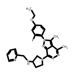 CCOc1ccc(-n2nc3c(N4CCC(NCc5ccccn5)C4)nnc(C)c3c2C)c(F)c1